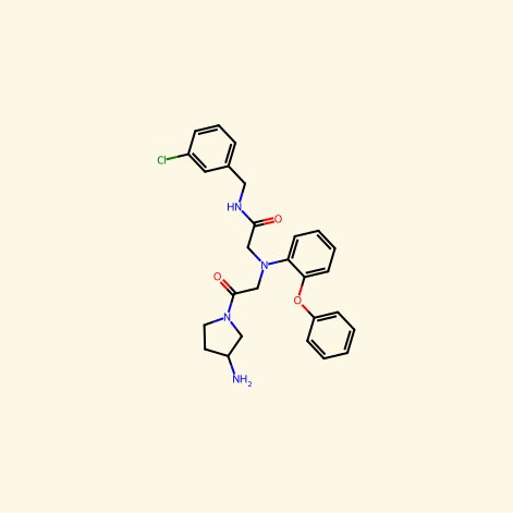 NC1CCN(C(=O)CN(CC(=O)NCc2cccc(Cl)c2)c2ccccc2Oc2ccccc2)C1